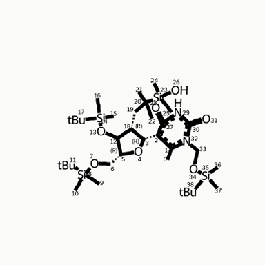 Cc1c([C@@H]2O[C@H](CO[Si](C)(C)C(C)(C)C)C(O[Si](C)(C)C(C)(C)C)[C@@H]2CC(C)(C)[Si](C)(C)O)c(=O)[nH]c(=O)n1CO[Si](C)(C)C(C)(C)C